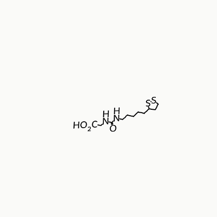 O=C(O)CNC(=O)NCCCCCC1CCSS1